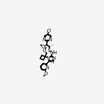 COCC1(n2c(NS[C@@H](C)C(OC)c3ncc(Cl)cn3)nnc2-c2cccc(OC)n2)CCC1